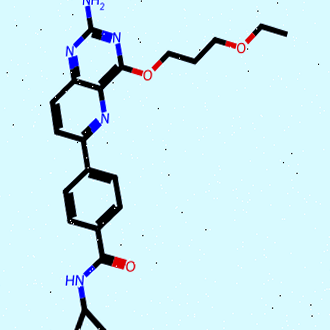 CCOCCCOc1nc(N)nc2ccc(-c3ccc(C(=O)NC4CC4)cc3)nc12